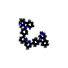 c1cc(-c2ccc(-n3c4ccccc4c4ccncc43)cc2)nc(-c2cccc(-c3ccc(-n4c5ccccc5c5ccncc54)cc3)n2)c1